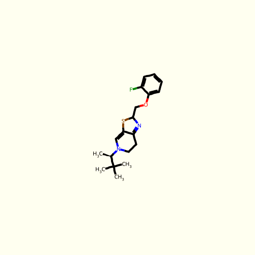 C[C@@H](N1C=C2SC(COc3ccccc3F)N=C2CC1)C(C)(C)C